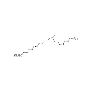 CCCCCCCCCCCCCCCCCCCCCC(C)CCCC(C)CCCC(C)CC